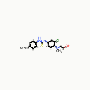 CC(=O)Nc1ccc(NC(=S)Nc2ccc(N(C)CCO)c(Cl)c2)cc1